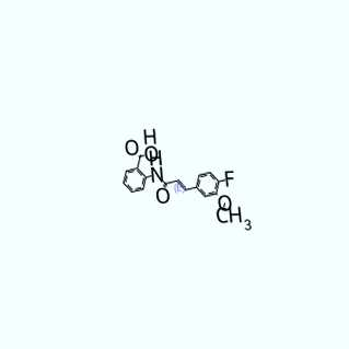 COc1cc(/C=C/C(=O)Nc2ccccc2C(=O)O)ccc1F